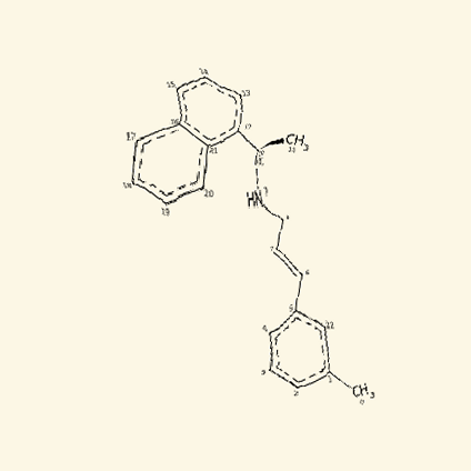 Cc1cccc(C=CCN[C@H](C)c2cccc3ccccc23)c1